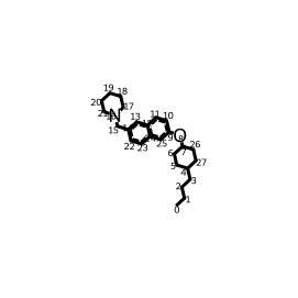 CCCCC1CCC(Oc2ccc3cc(CN4CCCCC4)ccc3c2)CC1